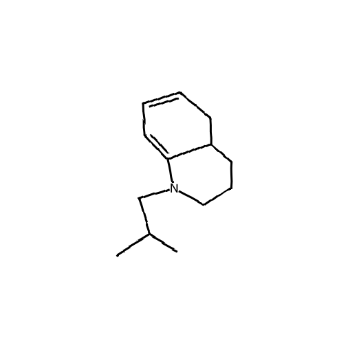 CC(C)CN1CCCC2CC=CC=C21